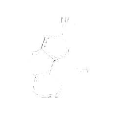 Nc1cc(N)c2c(ccc3ccccc32)c1